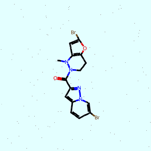 CN1c2cc(Br)oc2CCN1C(=O)c1cc2ccc(Br)cn2n1